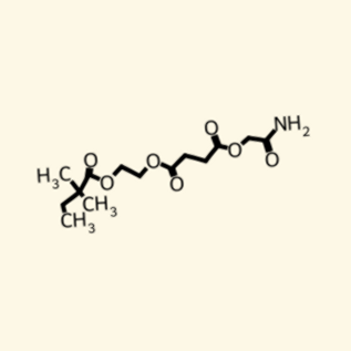 CCC(C)(C)C(=O)OCCOC(=O)CCC(=O)OCC(N)=O